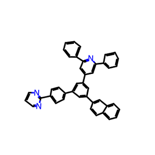 c1ccc(-c2cc(-c3cc(-c4ccc(-c5ncccn5)cc4)cc(-c4ccc5ccccc5c4)c3)cc(-c3ccccc3)n2)cc1